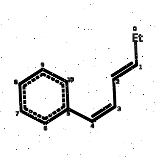 CC/C=C/C=[C]\c1ccccc1